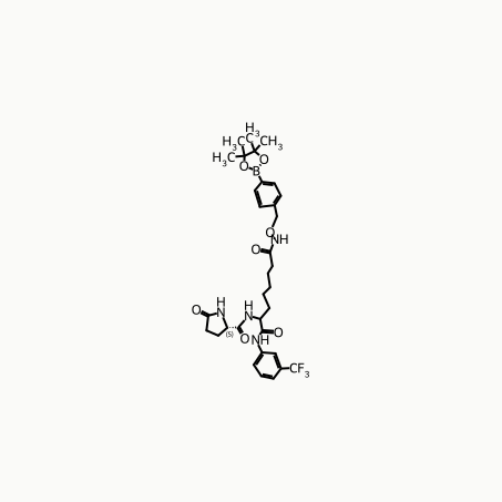 CC1(C)OB(c2ccc(CONC(=O)CCCCCC(NC(=O)[C@@H]3CCC(=O)N3)C(=O)Nc3cccc(C(F)(F)F)c3)cc2)OC1(C)C